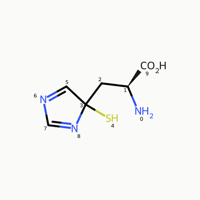 N[C@@H](CC1(S)C=NC=N1)C(=O)O